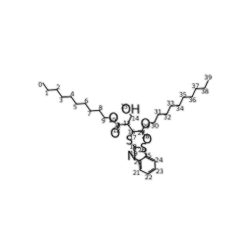 CCCCCCCCCCOC(=O)C(CO)C(Sc1nc2ccccc2s1)C(=O)OCCCCCCCCCC